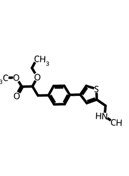 CCOC(Cc1ccc(-c2csc(CNC)c2)cc1)C(=O)OC